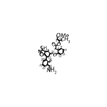 COCC(C)OC(=O)Cc1ccccc1OCc1cc(-c2cccc(CN)c2F)c2onc(C)c2c1